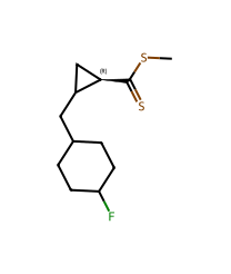 CSC(=S)[C@@H]1CC1CC1CCC(F)CC1